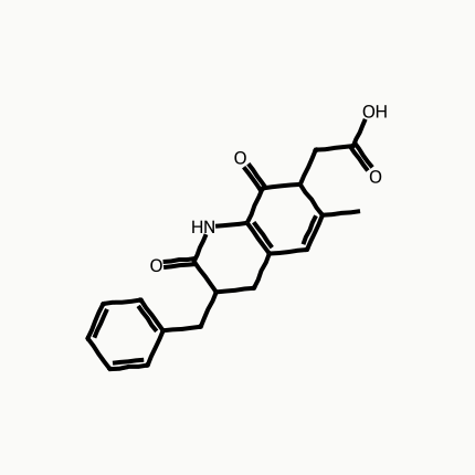 CC1=CC2=C(NC(=O)C(Cc3ccccc3)C2)C(=O)C1CC(=O)O